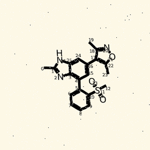 Cc1nc2c(-c3ccccc3S(C)(=O)=O)cc(-c3c(C)noc3C)cc2[nH]1